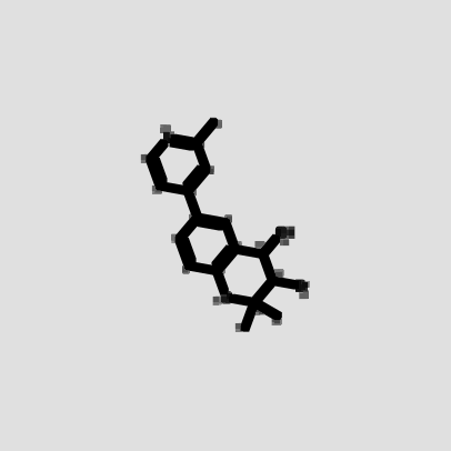 Cc1cc(-c2ccc3c(c2)C(O)C(Br)C(C)(C)O3)ccn1